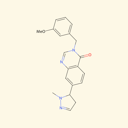 COc1cccc(Cn2cnc3cc(C4CC=NN4C)ccc3c2=O)c1